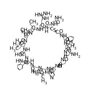 CCCC[C@H]1C(=O)N(C)[C@@H](CCCC)C(=O)N[C@@H](CCCNC(=N)N)C(=O)N[C@H](C(=O)NCC(N)=O)CSCC(=O)N[C@@H](Cc2ccccc2)C(=O)N(C)[C@@H](C)C(=O)N[C@@H](CC(N)=O)C(=O)N2CCC[C@H]2C(=O)N[C@@H](Cc2cnc[nH]2)C(=O)N[C@@H](CC(C)C)C(=O)N(C)CC(=O)N[C@@H](Cc2c[nH]c3ccccc23)C(=O)N[C@@H](CO)C(=O)N[C@@H]([C@@H](C)CC)C(=O)N1C